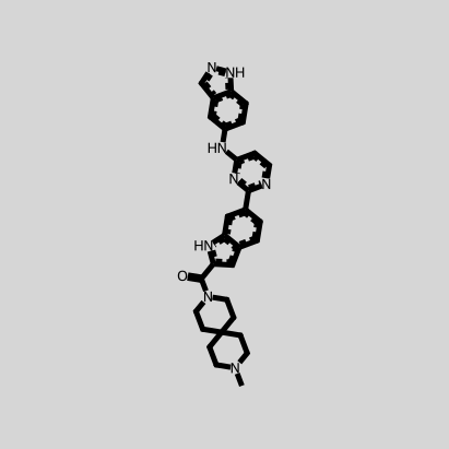 CN1CCC2(CC1)CCN(C(=O)c1cc3ccc(-c4nccc(Nc5ccc6[nH]ncc6c5)n4)cc3[nH]1)CC2